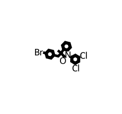 CC1(Cc2ccc(Br)cc2)C(=O)N(c2cc(Cl)cc(Cl)c2)c2ccccc21